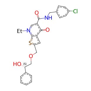 CCn1cc(C(=O)NCc2ccc(Cl)cc2)c(=O)c2cc(COC[C@@H](O)c3ccccc3)sc21